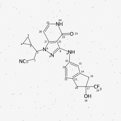 N#CCC(C1CC1)n1nc(Nc2ccc3c(c2)CC(O)(C(F)(F)F)C3)c2c(=O)[nH]ccc21